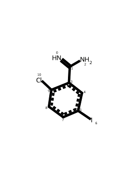 N=C(N)c1cc(I)ccc1Cl